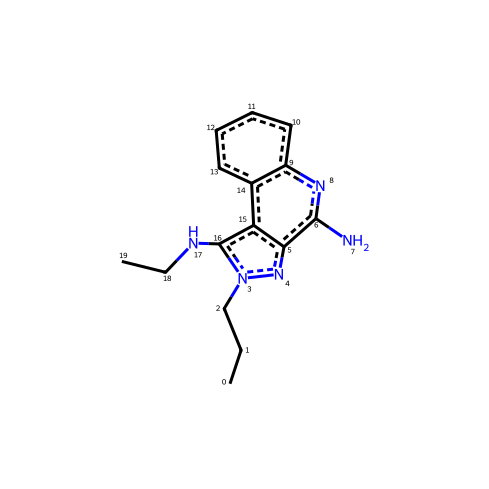 CCCn1nc2c(N)nc3ccccc3c2c1NCC